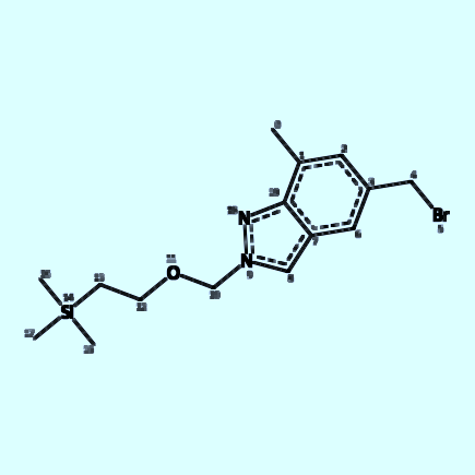 Cc1cc(CBr)cc2cn(COCC[Si](C)(C)C)nc12